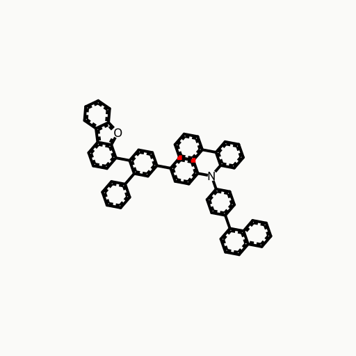 c1ccc(-c2cc(-c3ccc(N(c4ccc(-c5cccc6ccccc56)cc4)c4ccccc4-c4ccccc4)cc3)ccc2-c2cccc3c2oc2ccccc23)cc1